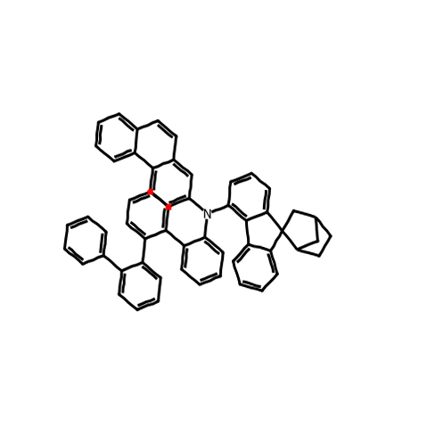 c1ccc(-c2ccccc2-c2ccccc2-c2ccccc2N(c2ccc3c(ccc4ccccc43)c2)c2cccc3c2-c2ccccc2C32CC3CCC2C3)cc1